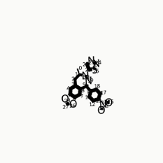 C[C@@H]1Cc2cc3c(cc2C(c2ccc([N+](=O)[O-])cc2)=NN1c1cnns1)OCO3